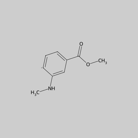 CNc1[c]ccc(C(=O)OC)c1